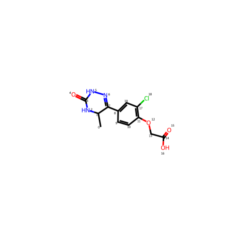 CC1NC(=O)NN=C1c1ccc(OCC(=O)O)c(Cl)c1